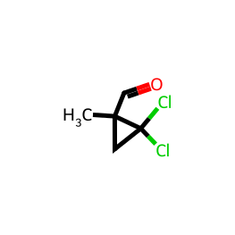 CC1(C=O)CC1(Cl)Cl